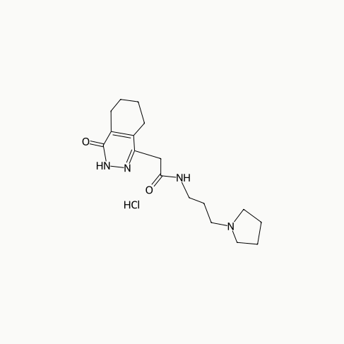 Cl.O=C(Cc1n[nH]c(=O)c2c1CCCC2)NCCCN1CCCC1